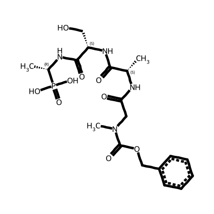 C[C@H](NC(=O)CN(C)C(=O)OCc1ccccc1)C(=O)N[C@@H](CO)C(=O)N[C@@H](C)P(=O)(O)O